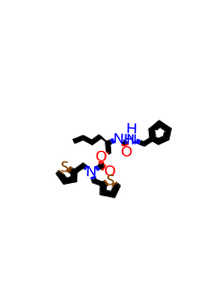 CCCC[C@H](COC(=O)N(Cc1cccs1)Cc1cccs1)NC(=O)NCc1ccccc1